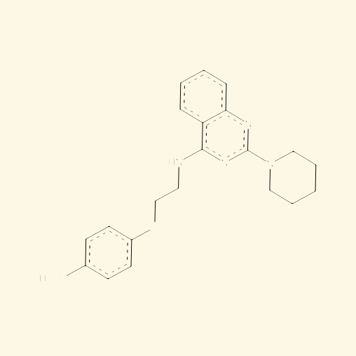 O=C(O)c1ccc(OCCNc2nc(N3CCCCC3)nc3ccccc23)cc1